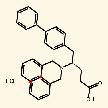 Cl.O=C(O)CC[C@@H](Cc1ccc(-c2ccccc2)cc1)N(Cc1ccccc1)Cc1ccccc1